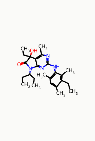 CCc1c(C)cc(C)c(Nc2nc(C)c3c(n2)N(C(CC)CC)C(=O)C3(O)CC)c1C